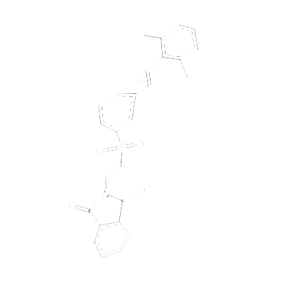 Cc1cccc(C)c1/C=C/c1cccc(S(=O)(=O)CCN2C(=O)c3ccccc3C2=O)c1